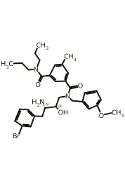 CCCN(CCC)C(=O)c1cc(C)cc(C(=O)N(Cc2cccc(OC)c2)C[C@@H](O)[C@@H](N)Cc2cccc(Br)c2)c1